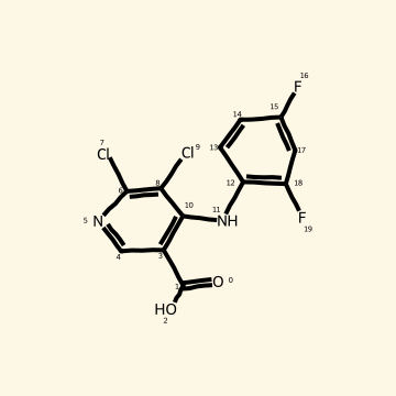 O=C(O)c1cnc(Cl)c(Cl)c1Nc1ccc(F)cc1F